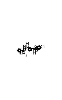 Cc1ccccc1C(=O)c1cnc(Nc2cccc(CNS(=O)(=O)c3ccc(Cl)cc3)c2)s1